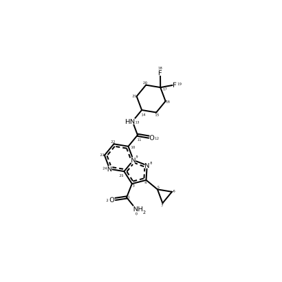 NC(=O)c1c(C2CC2)nn2c(C(=O)NC3CCC(F)(F)CC3)ccnc12